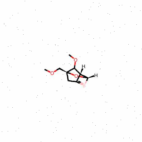 COC[C@]12CC3=B[C@H](O1)[C@H]3C2OC